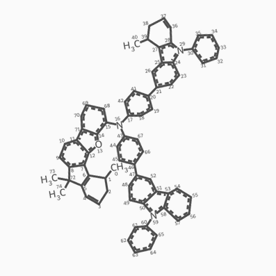 CC1CC=CC2=C1c1c(ccc3c1oc1c(N(c4ccc(-c5ccc6c(c5)c5c(n6-c6ccccc6)C=CCC5C)cc4)c4ccc(-c5ccc6c(c5)c5ccccc5n6-c5ccccc5)cc4)cccc13)C2(C)C